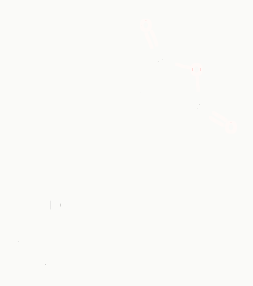 C1CC1.CCc1ccc2c(c1)C(=O)OC2=O